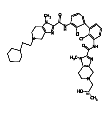 C[C@H](O)CN1CCc2c(nc(C(=O)Nc3cccc(-c4cccc(NC(=O)c5nc6c(n5C)CCN(CCC5CCCCC5)C6)c4Cl)c3Cl)n2C)C1